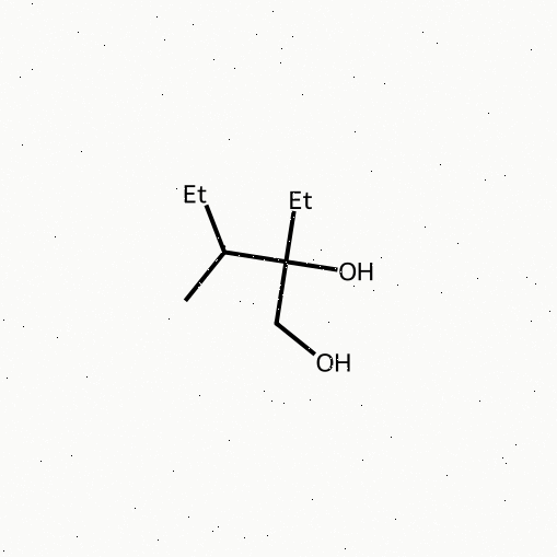 CC[C](C)C(O)(CC)CO